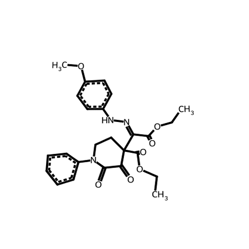 CCOC(=O)/C(=N/Nc1ccc(OC)cc1)C1(C(=O)OCC)CCN(c2ccccc2)C(=O)C1=O